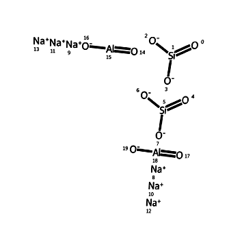 O=[Si]([O-])[O-].O=[Si]([O-])[O-].[Na+].[Na+].[Na+].[Na+].[Na+].[Na+].[O]=[Al][O-].[O]=[Al][O-]